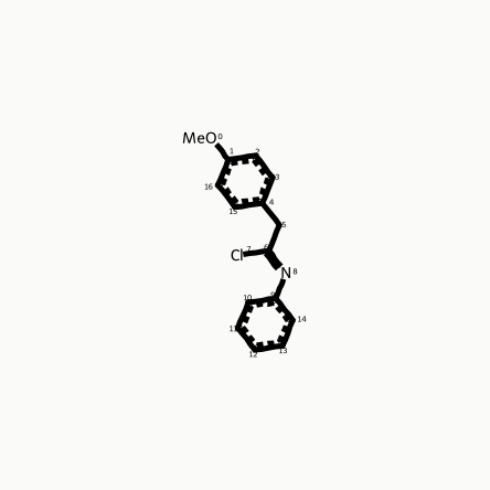 COc1ccc(CC(Cl)=Nc2ccccc2)cc1